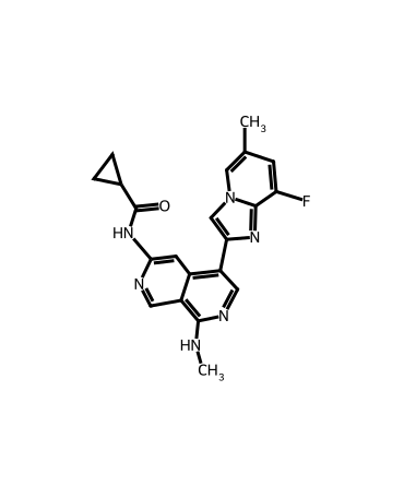 CNc1ncc(-c2cn3cc(C)cc(F)c3n2)c2cc(NC(=O)C3CC3)ncc12